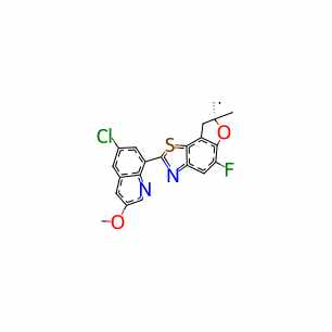 [CH2][C@@]1(C)Cc2c(c(F)cc3nc(-c4cc(Cl)cc5cc(OC)cnc45)sc23)O1